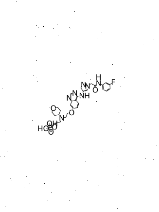 O=C(Cn1cc(Nc2ncnc3cc(OCCN(CCOP(=O)(O)O)C4CCOCC4)ccc23)cn1)Nc1cccc(F)c1